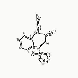 [N-]=[N+]=C1c2ccccc2C(S(=O)(=O)O)=CC1O